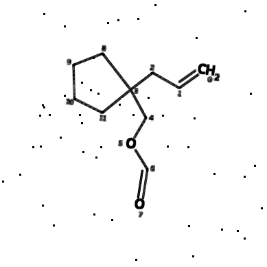 C=CCC1(COC=O)CCCC1